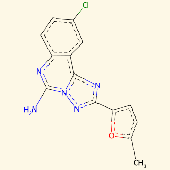 Cc1ccc(-c2nc3c4cc(Cl)ccc4nc(N)n3n2)o1